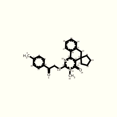 Cc1ccc(C(=O)CSc2nc3c(c(=O)n2C)C2(CCCC2)Cc2ccccc2-3)cc1